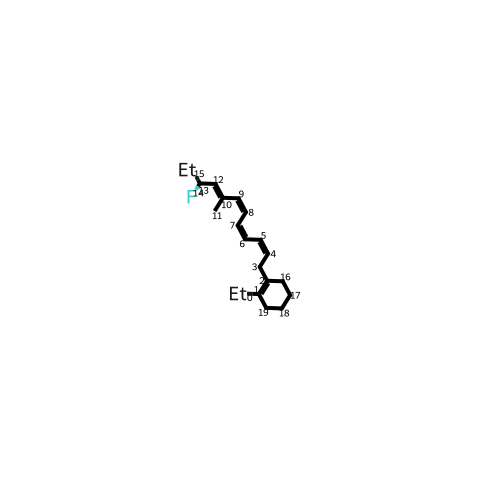 CCC1=C(C\C=C/C=C\C=C/C(C)=C/C(F)CC)CCCC1